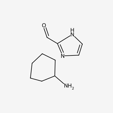 NC1CCCCC1.O=Cc1ncc[nH]1